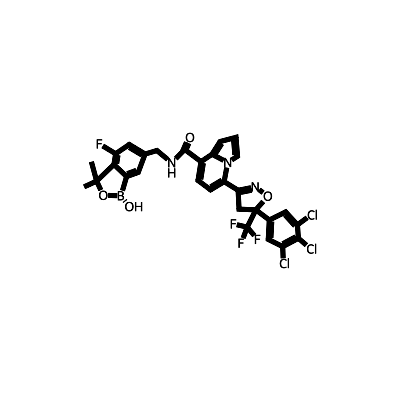 CC1(C)OB(O)c2cc(CNC(=O)c3ccc(C4=NOC(c5cc(Cl)c(Cl)c(Cl)c5)(C(F)(F)F)C4)n4cccc34)cc(F)c21